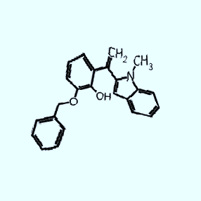 C=C(c1cccc(OCc2ccccc2)c1O)c1cc2ccccc2n1C